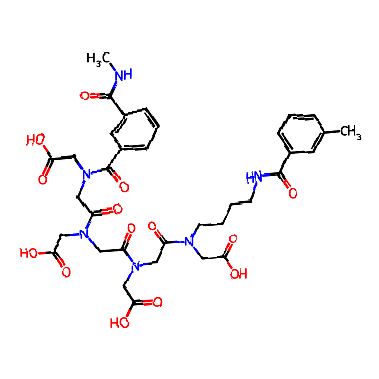 CNC(=O)c1cccc(C(=O)N(CC(=O)O)CC(=O)N(CC(=O)O)CC(=O)N(CC(=O)O)CC(=O)N(CCCCNC(=O)c2cccc(C)c2)CC(=O)O)c1